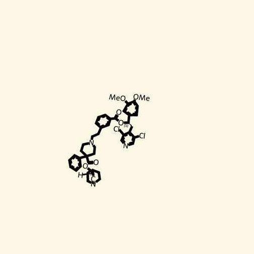 COc1ccc([C@H](Cc2c(Cl)cncc2Cl)OC(=O)c2cccc(CCN3CCC(C(=O)O[C@H]4CN5CCC4CC5)(c4ccccc4)CC3)c2)cc1OC